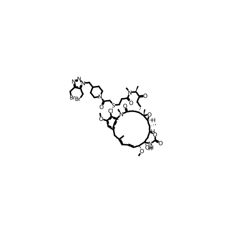 COc1cc2cc(c1Cl)N(C)C(=O)C[C@H](CCC(=O)[C@H](C)N(C)C(=O)CCSCC(=O)N1CCC(Cn3nnc(CBr)c3CBr)CC1)[C@]1(C)O[C@H]1[C@H](C)[C@@H]1C[C@@](O)(NC(=O)O1)[C@H](OC)/C=C/C=C(\C)C2